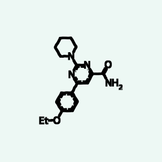 CCOc1ccc(-c2cc(C(N)=O)nc(N3CCCCC3)n2)cc1